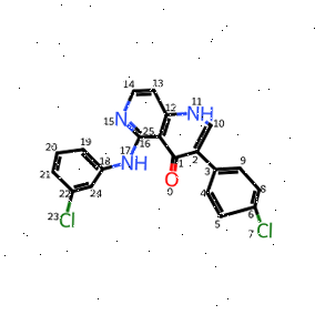 O=c1c(-c2ccc(Cl)cc2)c[nH]c2ccnc(Nc3cccc(Cl)c3)c12